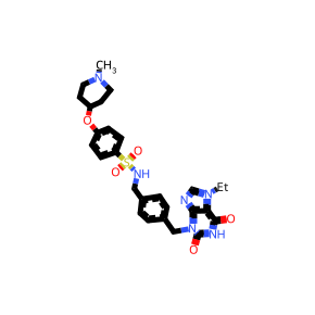 CCn1cnc2c1c(=O)[nH]c(=O)n2Cc1ccc(CNS(=O)(=O)c2ccc(OC3CCN(C)CC3)cc2)cc1